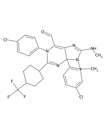 CCN1C(NC)=NC2=C(C=O)N(c3ccc(Cl)cc3)C(C3CCC(C(F)(F)F)CC3)=NC21c1ccc(Cl)cc1